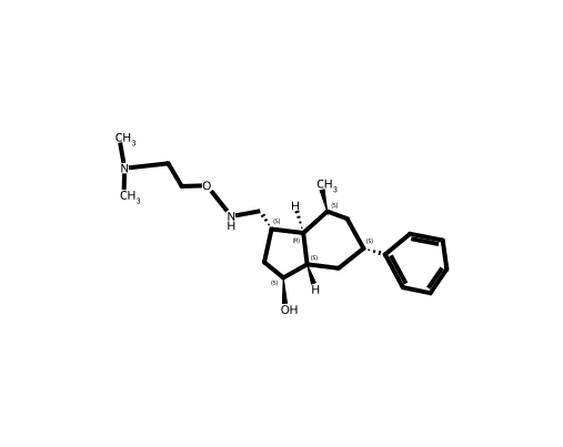 C[C@H]1C[C@H](c2ccccc2)C[C@H]2[C@H]1[C@@H](CNOCCN(C)C)C[C@@H]2O